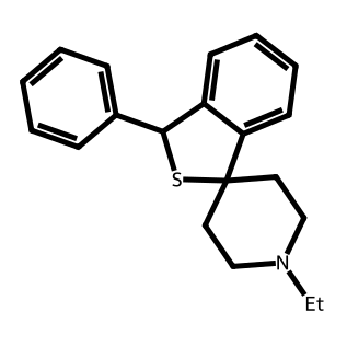 CCN1CCC2(CC1)SC(c1ccccc1)c1ccccc12